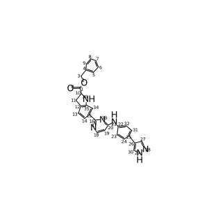 O=C(OCc1ccccc1)C1Cc2ccc(-c3nccc(Nc4ccc(-c5cn[nH]c5)cc4)n3)cc2N1